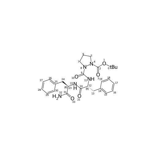 CC(C)(C)OC(=O)N1CCCN1C(=O)N[C@H](Cc1ccccc1)C(=O)N[C@H](Cc1ccccc1)C(N)=O